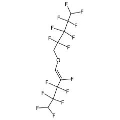 FC(=COCC(F)(F)C(F)(F)C(F)(F)C(F)F)C(F)(F)C(F)(F)C(F)F